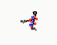 CCCCOC(=O)NC(CCC(=O)NCOC)C(=O)OCc1ccccc1